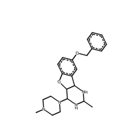 CC1NC2c3cc(OCc4ccccc4)ccc3OC2C(N2CCN(C)CC2)N1